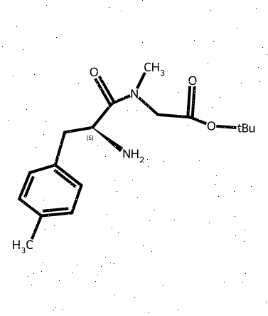 Cc1ccc(C[C@H](N)C(=O)N(C)CC(=O)OC(C)(C)C)cc1